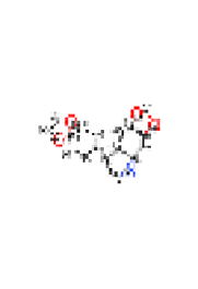 C1=C(c2ccnc3cc4c(cc23)OCO4)CCC2(C1)OCCO2